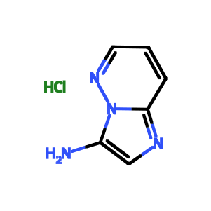 Cl.Nc1cnc2cccnn12